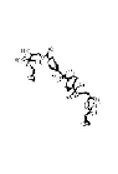 CCC(OCC(C)C(C)(CC)OCC1CO1)c1ccc(C(C)(C)c2ccc(C(C)(CC)OCC(C)OC(S)(CC)CC3CO3)cc2)cc1